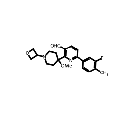 COC1(c2nc(-c3ccc(C)c(F)c3)ccc2C=O)CCN(C2COC2)CC1